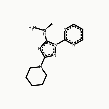 C[Si@H](N)c1nc(N2CCCCC2)nn1-c1ncccn1